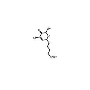 CCCCCCCCCCCCOC1C=C(Cl)C(=O)C(C(C)C)O1